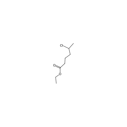 CCOC(=O)CCCC(C)Cl